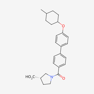 CC1CCC(Oc2ccc(-c3ccc(C(=O)N4CC[C@H](C(=O)O)C4)cc3)cc2)CC1